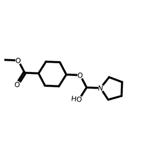 COC(=O)C1CCC(OC(O)N2CCCC2)CC1